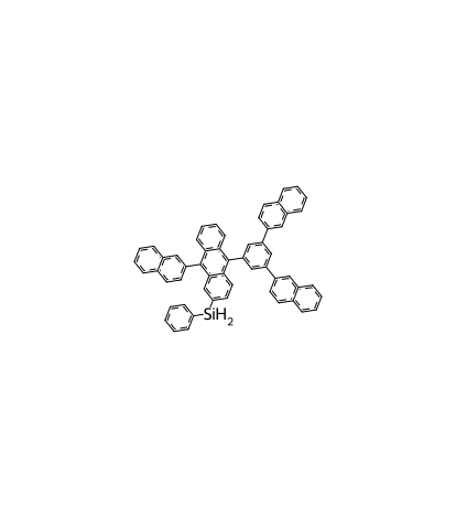 c1ccc([SiH2]c2ccc3c(-c4cc(-c5ccc6ccccc6c5)cc(-c5ccc6ccccc6c5)c4)c4ccccc4c(-c4ccc5ccccc5c4)c3c2)cc1